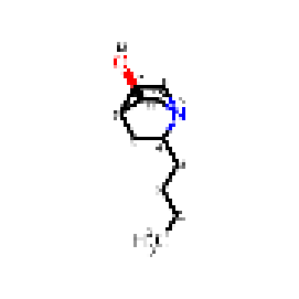 CCCCC1CC2CCN1CC2=O